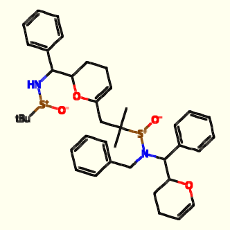 CC(C)(C)[S+]([O-])NC(c1ccccc1)C1CCC=C(CC(C)(C)[S+]([O-])N(Cc2ccccc2)C(c2ccccc2)C2CCC=CO2)O1